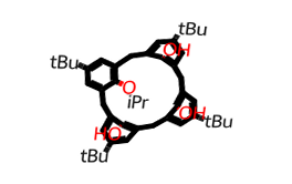 CC(C)Oc1c2cc(C(C)(C)C)cc1Cc1cc(C(C)(C)C)cc(c1O)Cc1cc(C(C)(C)C)cc(c1O)Cc1cc(C(C)(C)C)cc(c1O)C2